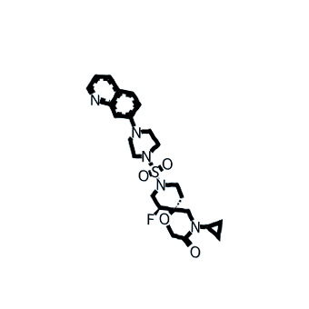 O=C1CO[C@]2(CCN(S(=O)(=O)N3CCN(c4ccc5cccnc5c4)CC3)C[C@@H]2F)CN1C1CC1